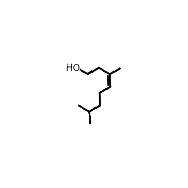 CC(=CCCC(C)C)CCO